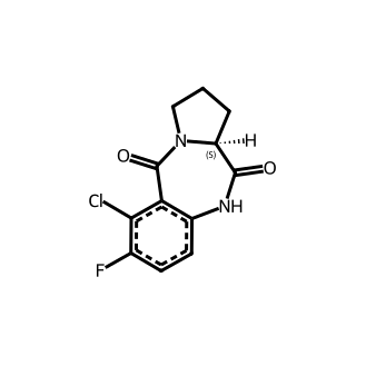 O=C1Nc2ccc(F)c(Cl)c2C(=O)N2CCC[C@@H]12